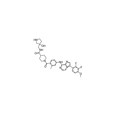 COc1ccc(-c2cnc3c(Nc4ccc(C(=O)N5CCC(C(=O)NCC6(O)CCNC6)CC5)c(C)c4)nccn23)c(F)c1F